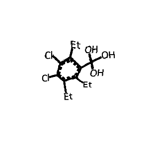 CCc1c(Cl)c(Cl)c(CC)c(C(O)(O)O)c1CC